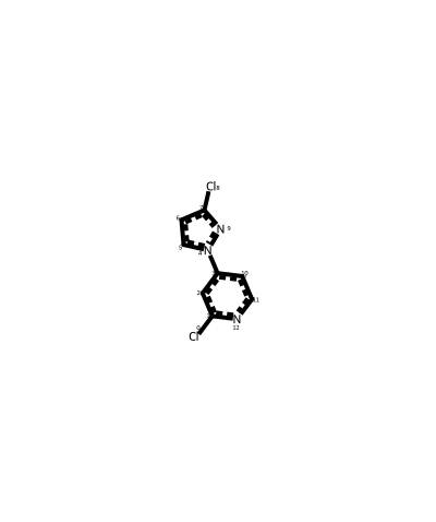 Clc1cc(-n2ccc(Cl)n2)[c]cn1